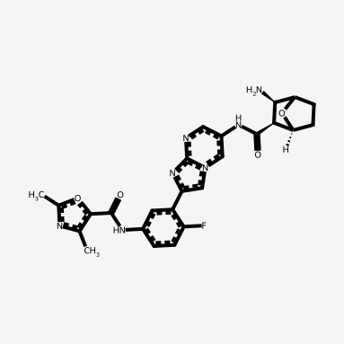 Cc1nc(C)c(C(=O)Nc2ccc(F)c(-c3cn4cc(NC(=O)[C@@H]5[C@@H]6CCC(O6)[C@@H]5N)cnc4n3)c2)o1